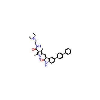 CCN(CC)CCNC(=O)c1c(C)[nH]c(/C=C2\C(=O)Nc3ccc(-c4ccc(-c5ccccc5)cc4)cc32)c1C